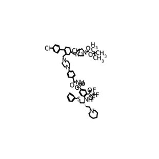 CC(C)(C)OC(=O)N1CCN(C[C@]2(C)CCC(c3ccc(Cl)cc3)=C(CN3CCN(c4ccc(C(=O)NS(=O)(=O)c5ccc(N[C@H](CCN6CCCCCC6)CSc6ccccc6)c(S(=O)(=O)C(F)(F)F)c5)cc4)CC3)C2)CC1